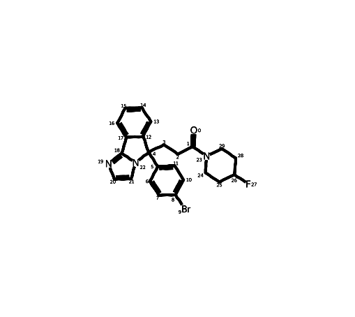 O=C(CCC1(c2ccc(Br)cc2)c2ccccc2-c2nccn21)N1CCC(F)CC1